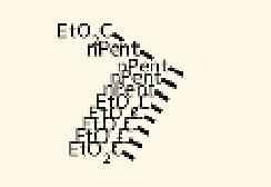 CCCCCC.CCCCCC.CCCCCC.CCCCCC.CCOC(C)=O.CCOC(C)=O.CCOC(C)=O.CCOC(C)=O.CCOC(C)=O.CCOC(C)=O